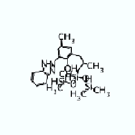 Cc1cc(CC(C)C[SiH](O[SiH](C)C)O[SiH](C)C)c(O)c(-n2nc3ccccc3n2)c1